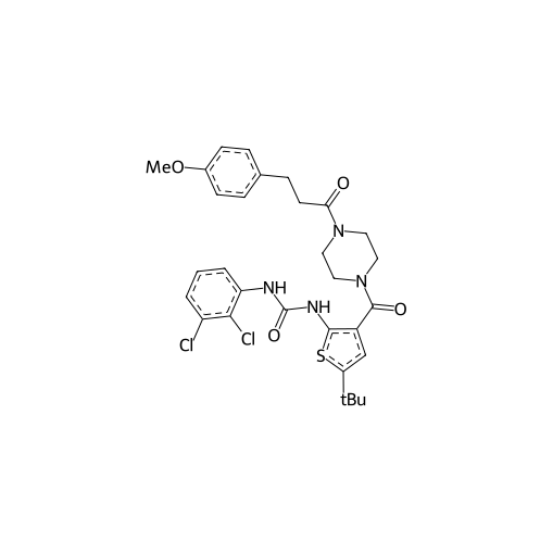 COc1ccc(CCC(=O)N2CCN(C(=O)c3cc(C(C)(C)C)sc3NC(=O)Nc3cccc(Cl)c3Cl)CC2)cc1